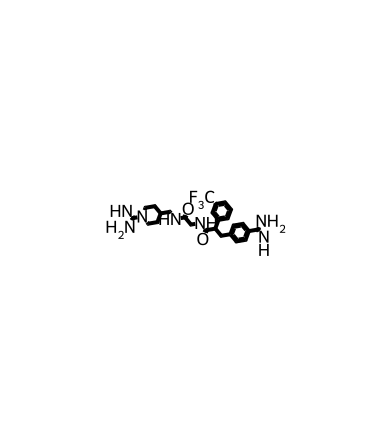 N=C(N)c1ccc(CC(C(=O)NCC(=O)NCC2CCN(C(=N)N)CC2)c2cccc(C(F)(F)F)c2)cc1